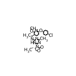 CC[C@H]1COC(=O)N1c1nc(C)nc(N[C@@H](C)c2ccc(Oc3ccc(Cl)cc3)nc2OC)n1